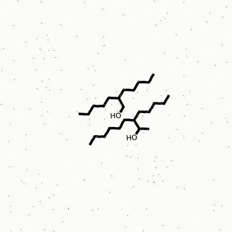 CCCCCC(CO)CCCCC.CCCCCCC(CCCCC)C(C)O